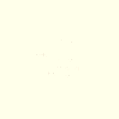 O=Cc1ccccc1.O=S(=O)(Cl)OC(F)(F)F